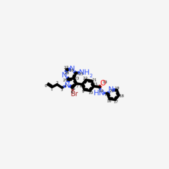 C=CCCn1c(Br)c(-c2ccc(C(=O)Nc3ccccn3)cc2)c2c(N)ncnc21